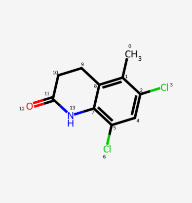 Cc1c(Cl)cc(Cl)c2c1CCC(=O)N2